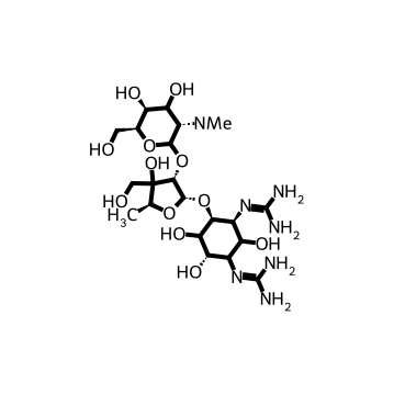 CN[C@@H]1C(O[C@@H]2[C@H](O[C@@H]3C(O)[C@@H](O)C(N=C(N)N)C(O)[C@@H]3N=C(N)N)O[C@@H](C)C2(O)CO)O[C@@H](CO)[C@@H](O)C1O